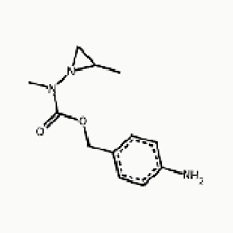 CC1CN1N(C)C(=O)OCc1ccc(N)cc1